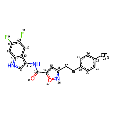 O=C(Nc1c[nH]c2cc(F)c(F)cc12)c1cc(CCc2ccc(C(F)(F)F)cc2)no1